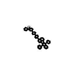 c1ccc(-c2c3c(c(-c4ccccc4)c4ccccc24)-c2ccc(-c4ccc(-c5ccc(-c6ccc7oc8ccccc8c7c6)cc5)cc4)c4cccc-3c24)cc1